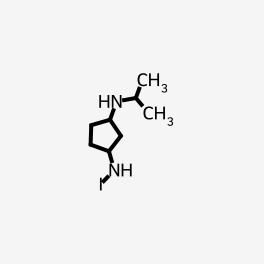 CC(C)NC1CCC(NI)C1